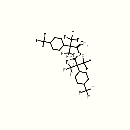 C=C(OC(=C)C(C1CCC(C(F)(F)F)CC1)(C(F)(F)F)C(F)(F)F)C(C1CCC(C(F)(F)F)CC1)(C(F)(F)F)C(F)(F)F